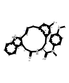 COc1ccc(N(C)C(=O)[C@@H]2Cc3cc(F)cc(c3)C/C=C/c3[nH]c4ccccc4c3CC(=O)N2)cc1